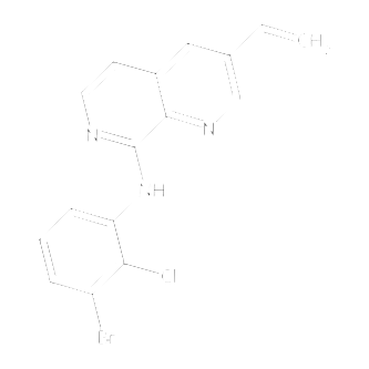 C=Cc1cnc2c(Nc3cccc(Br)c3Cl)nccc2c1